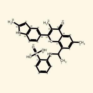 Cc1cc(C(C)Nc2ccccc2P(=O)(O)O)c2oc(-c3ccc4[nH]c(C)cc4c3)c(C)c(=O)c2c1